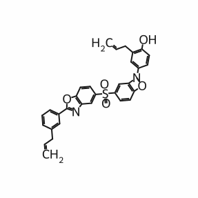 C=CCc1cccc(-c2nc3cc(S(=O)(=O)c4ccc5on(-c6ccc(O)c(CC=C)c6)c5c4)ccc3o2)c1